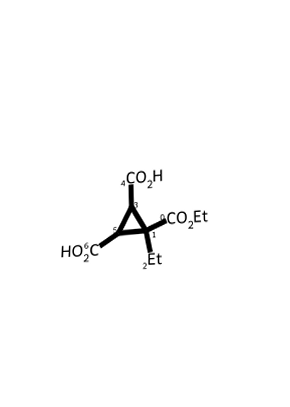 CCOC(=O)C1(CC)C(C(=O)O)C1C(=O)O